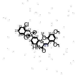 COc1cc(OC)c(/C=C2\Sc3cc(S(=O)(=O)Cc4c(Cl)cccc4Cl)ccc3NC2=O)c(OC)c1